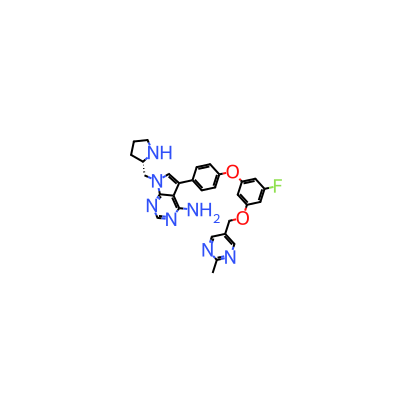 Cc1ncc(COc2cc(F)cc(Oc3ccc(-c4cn(C[C@@H]5CCCN5)c5ncnc(N)c45)cc3)c2)cn1